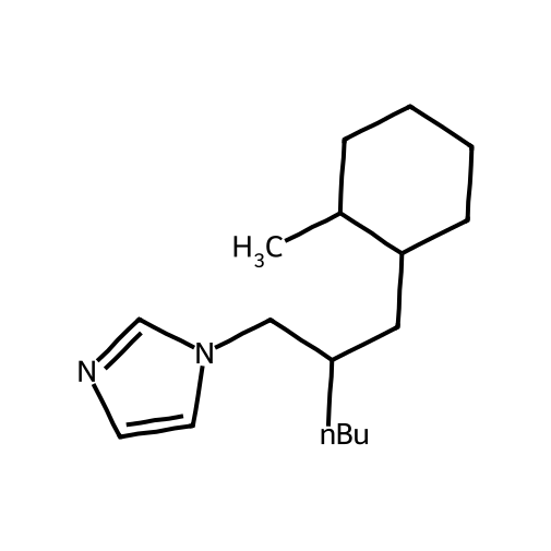 CCCCC(CC1CCCCC1C)Cn1ccnc1